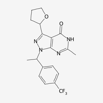 Cc1nc2c(c(C3CCCO3)nn2C(C)c2ccc(C(F)(F)F)cc2)c(=O)[nH]1